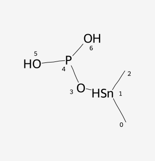 [CH3][SnH]([CH3])[O]P(O)O